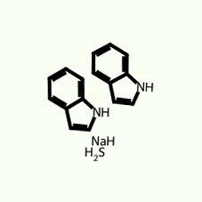 S.[NaH].c1ccc2[nH]ccc2c1.c1ccc2[nH]ccc2c1